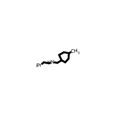 CC(C)CCNCC1CCC(C)CC1